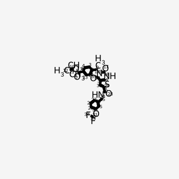 CC(c1ccc(C(=O)OC(C)(C)C)cc1)n1c(=O)[nH]c2sc(C(=O)NCc3cccc(OC(F)F)c3)cc2c1=O